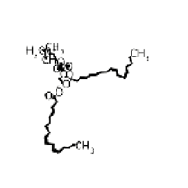 CCCC/C=C\C/C=C\CCCCCCCC(=O)OC[C@H](COP(=O)([O-])OCC[N+](C)(C)C)OC(=O)CCCCCCC/C=C\C/C=C\CCCC